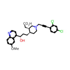 COc1ccc2nccc([C@@H](O)CC[C@@H]3CCN(CC#Cc4ccc(Cl)cc4Cl)C[C@@H]3CC(=O)O)c2c1